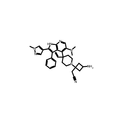 C=CC1(c2c(N(C)C)cnc3[nH]c(-c4cnn(C)c4)c(-c4ccccc4)c23)CCN(C2(CC#N)CC(N)C2)CC1